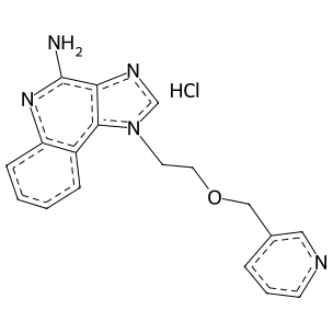 Cl.Nc1nc2ccccc2c2c1ncn2CCOCc1cccnc1